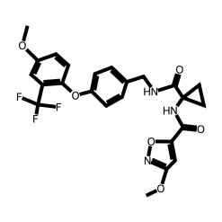 COc1ccc(Oc2ccc(CNC(=O)C3(NC(=O)c4cc(OC)no4)CC3)cc2)c(C(F)(F)F)c1